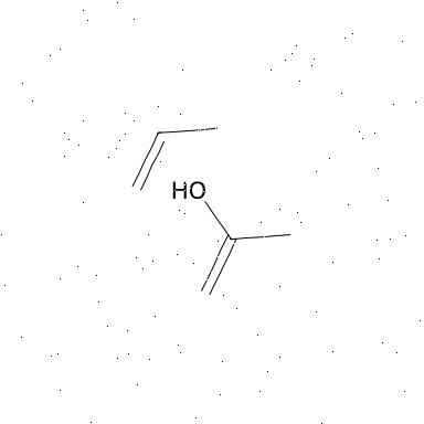 C=C(C)O.C=CC